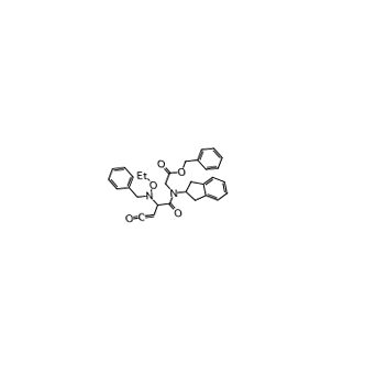 CCON(Cc1ccccc1)C(C=C=O)C(=O)N(CC(=O)OCc1ccccc1)C1Cc2ccccc2C1